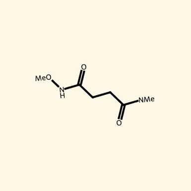 CNC(=O)CCC(=O)NOC